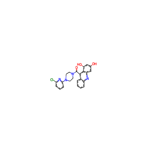 O=C(c1c2ccccc2nc2cc(O)cc(O)c12)N1CCN(c2cccc(Cl)n2)CC1